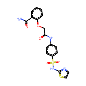 NC(=O)c1ccccc1OCC(=O)Nc1ccc(S(=O)(=O)Nc2nccs2)cc1